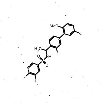 COc1ccc(Cl)cc1-c1ccc(C(C)NS(=O)(=O)c2ccc(F)c(F)c2)c(F)c1